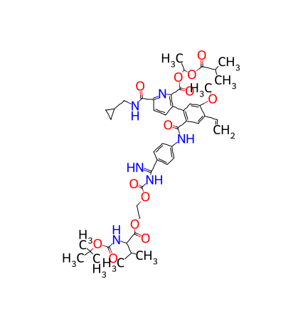 C=Cc1cc(C(=O)Nc2ccc(C(=N)NC(=O)OCCOC(=O)C(NC(=O)OC(C)(C)C)C(C)C)cc2)c(-c2ccc(C(=O)NCC3CC3)nc2C(=O)OC(C)OC(=O)C(C)C)cc1OC